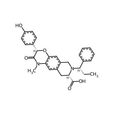 CC[C@@H](c1ccccc1)N1Cc2cc3c(cc2C[C@H]1C(=O)O)N(C)C(=O)[C@H](c1ccc(O)cc1)O3